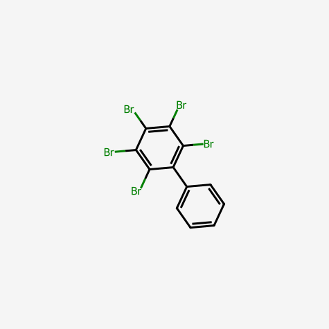 Brc1c(Br)c(Br)c(-c2ccccc2)c(Br)c1Br